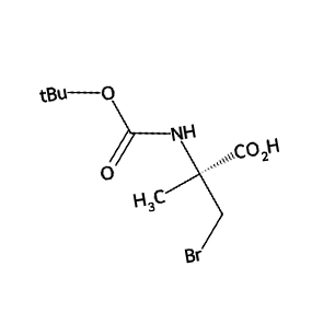 CC(C)(C)OC(=O)N[C@](C)(CBr)C(=O)O